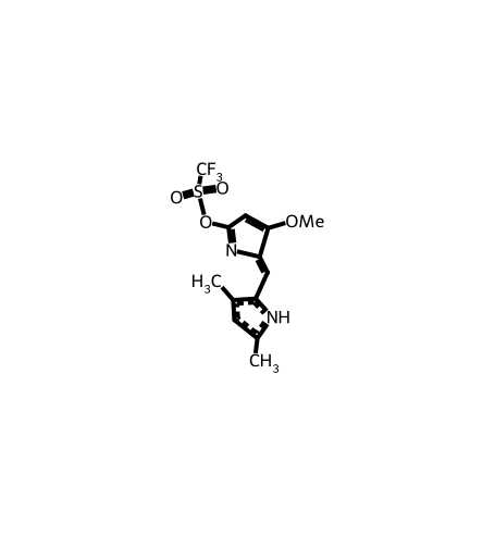 COC1=CC(OS(=O)(=O)C(F)(F)F)=N/C1=C\c1[nH]c(C)cc1C